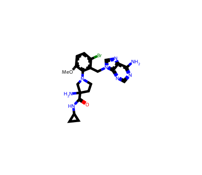 COc1ccc(Br)c(Cn2cnc3c(N)ncnc32)c1N1CCC(N)(C(=O)NC2CC2)C1